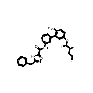 Cc1ccc(OC(F)C(F)CCF)cc1-c1ccnc(NC(=O)c2nnc(Cc3ccccc3)[nH]2)c1